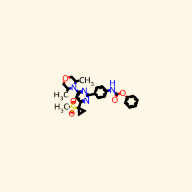 CC1COCC(C)N1c1cc(C2(S(C)(=O)=O)CC2)nc(-c2ccc(NC(=O)Oc3ccccc3)cc2)n1